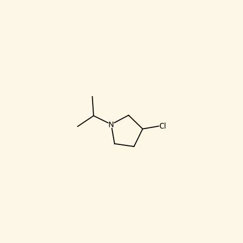 CC(C)N1CCC(Cl)C1